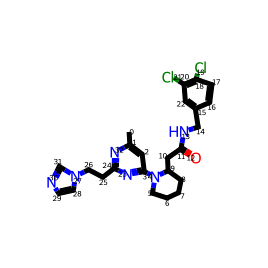 Cc1cc(N2CCCCC2CC(=O)NCc2ccc(Cl)c(Cl)c2)nc(CCn2ccnc2)n1